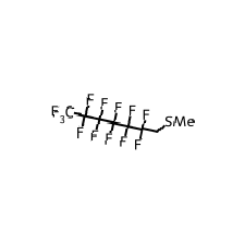 CSCC(F)(F)C(F)(F)C(F)(F)C(F)(F)C(F)(F)C(F)(F)F